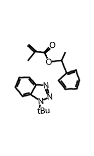 C=C(C)C(=O)OC(C)c1ccccc1.CC(C)(C)n1nnc2ccccc21